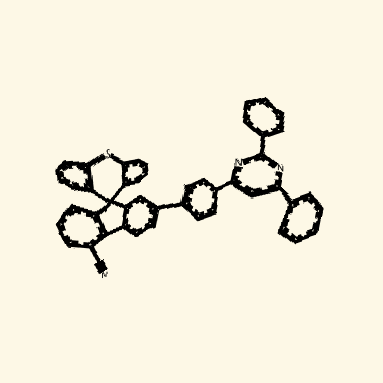 N#Cc1cccc2c1-c1ccc(-c3ccc(-c4cc(-c5ccccc5)nc(-c5ccccc5)n4)cc3)cc1C21c2ccccc2Sc2ccccc21